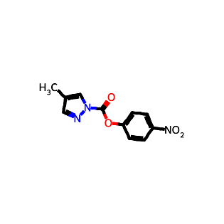 Cc1cnn(C(=O)Oc2ccc([N+](=O)[O-])cc2)c1